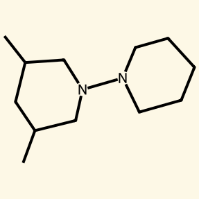 CC1CC(C)CN(N2CCCCC2)C1